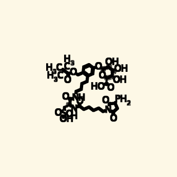 CC(C)(C)C(=O)OCc1ccc(O[C@@H]2O[C@H](C(=O)O)[C@@H](O)[C@H](O)[C@H]2O)cc1CCCCNC(=O)[C@H](CS(=O)(=O)O)NC(=O)CCCCCN1C(=O)CC(P)C1=O